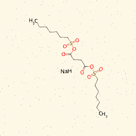 CCCCCCCS(=O)(=O)OC(=O)CCC(=O)OS(=O)(=O)CCCCCCC.[NaH]